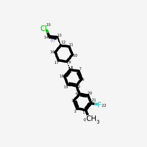 Cc1ccc(-c2ccc([C@H]3CC[C@H](/C=C/Cl)CC3)cc2)cc1F